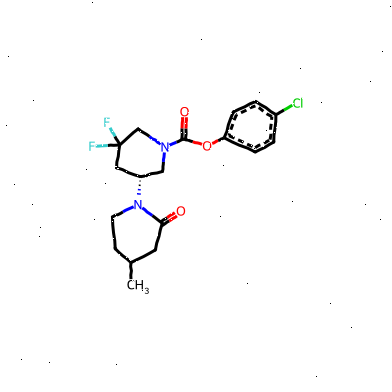 CC1CCN([C@H]2CN(C(=O)Oc3ccc(Cl)cc3)CC(F)(F)C2)C(=O)C1